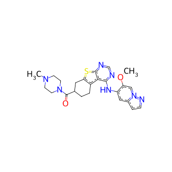 COc1cn2nccc2cc1Nc1ncnc2sc3c(c12)CCC(C(=O)N1CCN(C)CC1)C3